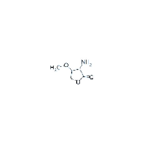 COC1COC(=O)C1N